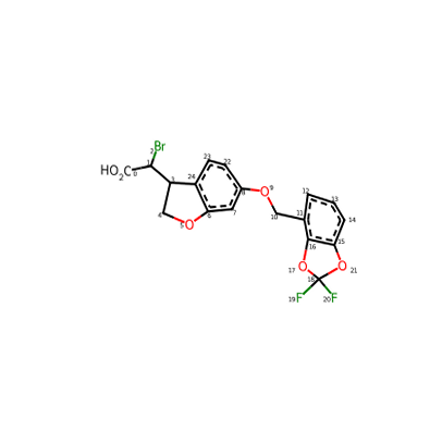 O=C(O)C(Br)C1COc2cc(OCc3cccc4c3OC(F)(F)O4)ccc21